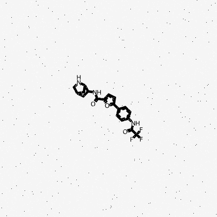 O=C(NC1CC2CNC1C2)c1ccc(-c2ccc(NC(=O)C(F)(F)F)cc2)o1